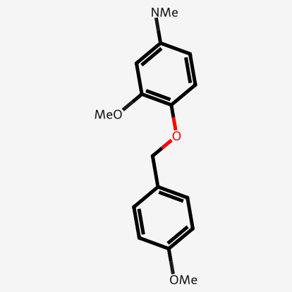 CNc1ccc(OCc2ccc(OC)cc2)c(OC)c1